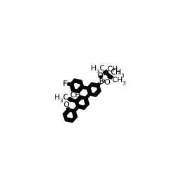 CC1(C)Oc2ccccc2-c2ccc(-c3ccc(B4OC(C)(C)C(C)(C)O4)cc3-c3ccc(F)cc3)cc21